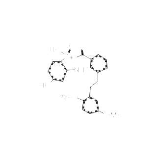 COc1ccc(OC)c(CCc2cccc(C(=O)O[As](=O)(O)c3ccc(O)cc3NC(C)=O)c2)c1